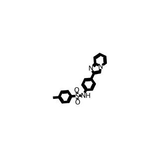 Cc1ccc(S(=O)(=O)Nc2ccc(-c3cn4ccccc4n3)cc2)cc1